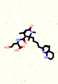 CC1=CC(=O)N(C)C(C)(CCCCc2ccc3c(n2)NCCC3)C1C(=O)NC(CCO)C(=O)O